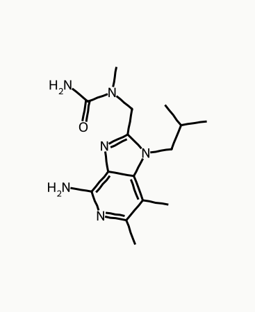 Cc1nc(N)c2nc(CN(C)C(N)=O)n(CC(C)C)c2c1C